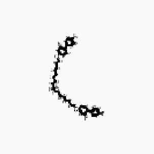 Fc1ccc(-c2ccc(OCCCCCCCCC(F)(F)CCCCCCCCOc3ccc(-c4ccc(F)cc4)c(F)c3)cc2F)cc1